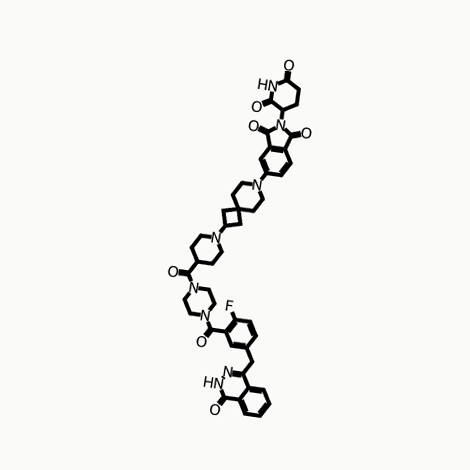 O=C1CCC(N2C(=O)c3ccc(N4CCC5(CC4)CC(N4CCC(C(=O)N6CCN(C(=O)c7cc(Cc8n[nH]c(=O)c9ccccc89)ccc7F)CC6)CC4)C5)cc3C2=O)C(=O)N1